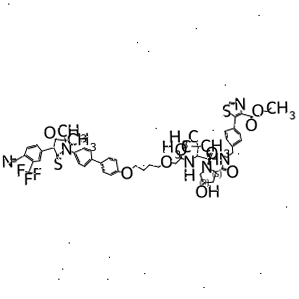 CCOC(=O)c1ncsc1-c1ccc(CNC(=O)[C@@H]2C[C@@H](O)CN2C(=O)C(NC(=O)COCCCCOc2ccc(-c3ccc(N4C(=S)C(c5ccc(C#N)c(C(F)(F)F)c5)C(=O)C4(C)C)cc3)cc2)C(C)(C)C)cc1